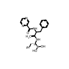 C=C(N[C@@H](CC(C)C)B(O)O)C(Cc1ccccc1)NC(=O)c1cnccn1